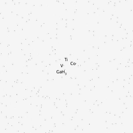 [Co].[GaH3].[Ti].[V]